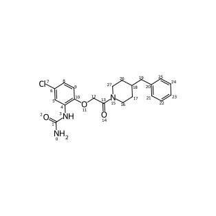 NC(=O)Nc1cc(Cl)ccc1OCC(=O)N1CCC(Cc2ccccc2)CC1